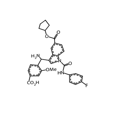 COc1cc(C(=O)O)ccc1C(N)c1cn(C(=O)Nc2ccc(F)cc2)c2ccc(C(=O)OC3CCCC3)cc12